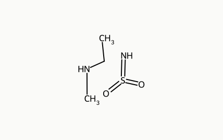 CCNC.N=S(=O)=O